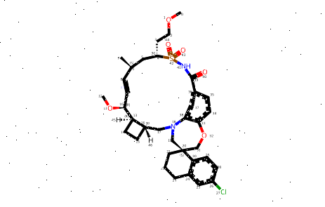 COCC[C@H]1C[C@H](C)/C=C/[C@H](OC)[C@@H]2CC[C@H]2CN2C[C@@]3(CCCc4cc(Cl)ccc43)COc3ccc(cc32)C(=O)NS1(=O)=O